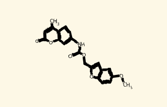 COc1ccc2oc(COC(=O)Nc3ccc4c(C)cc(=O)oc4c3)cc2c1